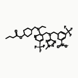 CCCC(=O)OC1CCC(CN(CC)c2ncc(C(F)(F)F)cc2CN(Cc2cc([N+](=O)[O-])cc(C(F)(F)F)c2)c2nnn(C)n2)CC1